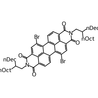 CCCCCCCCCCC(CCCCCCCC)CN1C(=O)c2ccc3c4c(Br)cc5c6c(ccc(c7c(Br)cc(c2c37)C1=O)c64)C(=O)N(CC(CCCCCCCC)CCCCCCCCCC)C5=O